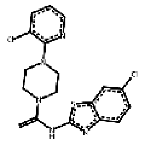 C=C(Nc1nc2ccc(Cl)cc2s1)N1CCN(c2ncccc2Cl)CC1